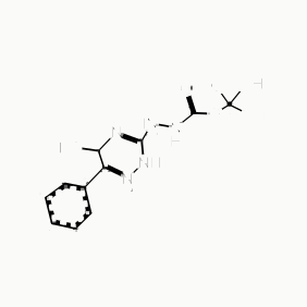 CC1N=C(NNC(=O)OC(C)(C)C)NN=C1c1ccccc1